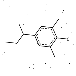 CCC(C)c1cc(C)c(Cl)c(C)c1